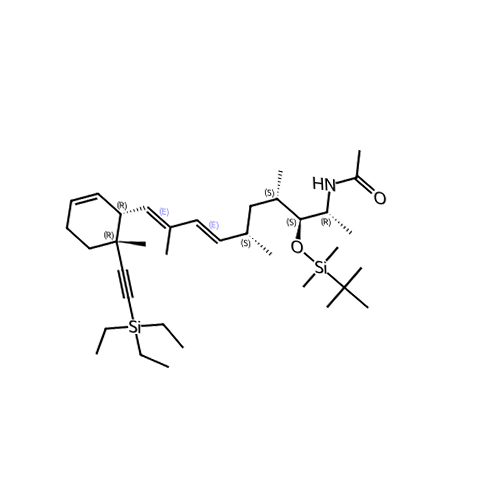 CC[Si](C#C[C@]1(C)CCC=C[C@@H]1/C=C(C)/C=C/[C@@H](C)C[C@H](C)[C@H](O[Si](C)(C)C(C)(C)C)[C@@H](C)NC(C)=O)(CC)CC